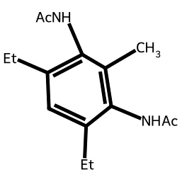 CCc1cc(CC)c(NC(C)=O)c(C)c1NC(C)=O